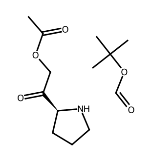 CC(=O)OCC(=O)[C@@H]1CCCN1.CC(C)(C)OC=O